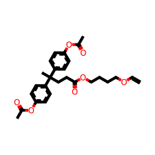 C=COCCCCOC(=O)CCC(C)(c1ccc(OC(C)=O)cc1)c1ccc(OC(C)=O)cc1